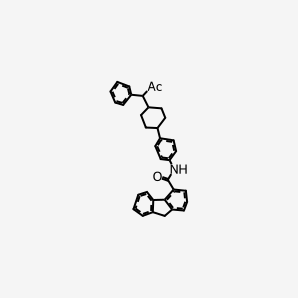 CC(=O)C(c1ccccc1)C1CCC(c2ccc(NC(=O)c3cccc4c3-c3ccccc3C4)cc2)CC1